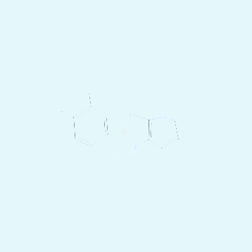 Cc1cc(S(=O)(=O)Nc2cc(Cl)cnc2Br)ccc1Cl